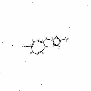 CC(=O)c1cn(C/C2=C/C=C(/F)C/C=C\C2)cn1